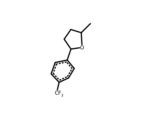 CC1CCC(c2ccc(C(F)(F)F)cc2)O1